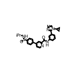 CC(C)N[S+]([O-])c1ccc(-c2ccnc(C(=O)Nc3cccc(-c4nncn4C4CC4)c3)c2)cc1